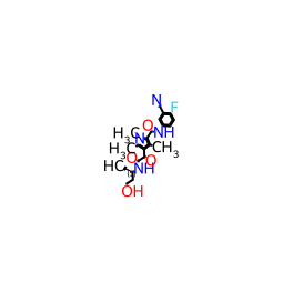 C#C[C@H](CCO)NC(=O)C(=O)c1c(C)c(C(=O)Nc2ccc(F)c(C#N)c2)n(C)c1C